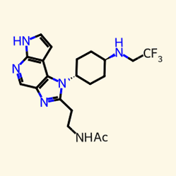 CC(=O)NCCc1nc2cnc3[nH]ccc3c2n1[C@H]1CC[C@H](NCC(F)(F)F)CC1